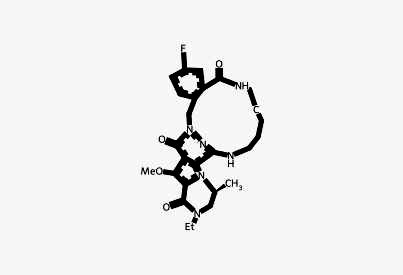 CCN1C[C@H](C)n2c(c(OC)c3c(=O)n4nc(c32)NCCCCCNC(=O)c2cc(F)ccc2C4)C1=O